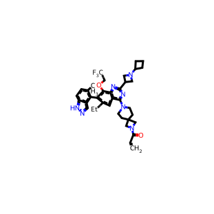 C=CC(=O)N1CC2(CCN(c3nc(C4CN(C5CCC5)C4)nc4c(OCC(F)(F)F)c(-c5c(C)ccc6[nH]ncc56)c(CC)cc34)CC2)C1